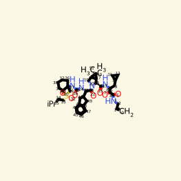 C=CCNC(=O)C(=O)C(CC1CC1)NC(=O)[C@@H]1C2C(CN1C(=O)[C@@H](NC(=O)NC1(CS(=O)(=O)CCC(C)C)CCCCC1)C1Cc3ccccc3C1)C2(C)C